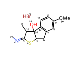 Br.CN=C1SC2Cc3cc(OC)ccc3C2(O)C1C